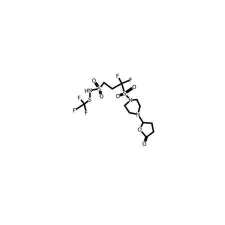 O=C1CCC(N2CCN(S(=O)(=O)C(F)(F)CCS(=O)(=O)NSC(F)(F)F)CC2)O1